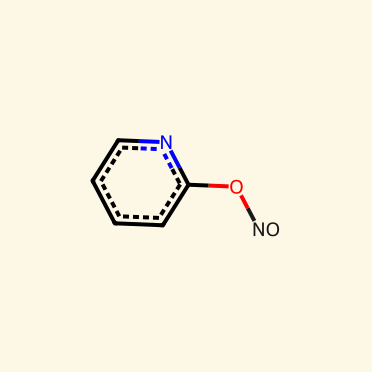 O=NOc1ccccn1